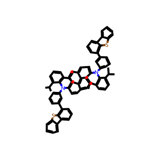 CC(C)c1cccc(C(C)C)c1N(c1cccc(-c2cccc3c2sc2ccccc23)c1)c1ccc2ccc3c(N(c4cccc(-c5cccc6c5sc5ccccc56)c4)c4c(C(C)C)cccc4C(C)C)ccc4ccc1c2c43